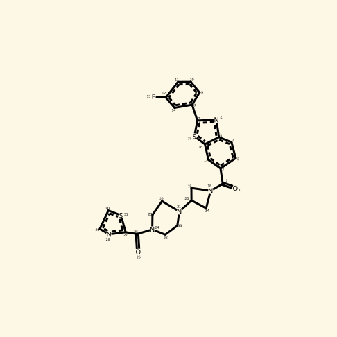 O=C(c1ccc2nc(-c3cccc(F)c3)sc2c1)N1CC(N2CCN(C(=O)c3nccs3)CC2)C1